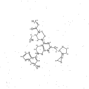 C=CC(=O)N1CCN(c2nc(OC[C@@H]3CCCN3C3CC3)nc3c2CCN(c2cc(O)cc4ccccc24)C3)C[C@@H]1CC#N